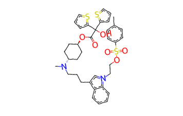 Cc1ccc(S(=O)(=O)OCCn2cc(CCCN(C)[C@H]3CC[C@H](OC(=O)C(O)(c4cccs4)c4cccs4)CC3)c3ccccc32)cc1